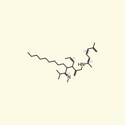 C=C(C)/C=C\C=C(\C)NCC(=C)C(/C=C\C)C(CCCCCCCCC)/C(=N/C)C(C)C